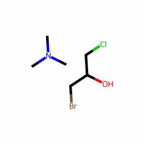 CN(C)C.OC(CCl)CBr